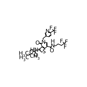 CC(C)(C)OC(=O)N[C@H]1CSc2c(C(=O)NCCCC(F)(F)F)cn(Cc3ccc(C(F)(F)F)nc3)c(=O)c21